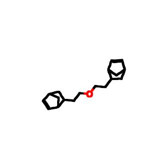 C1=CC2CC1CC2CCOCCC1CC2C=CC1C2